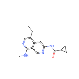 CCc1cnc(NC)c2cnc(NC(=O)C3CC3)cc12